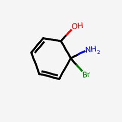 NC1(Br)C=CC=CC1O